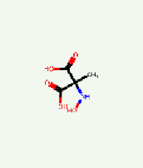 CC(NO)(C(=O)O)C(=O)O